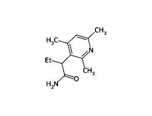 CCC(C(N)=O)c1c(C)cc(C)nc1C